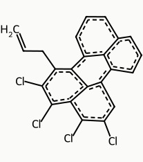 C=CCc1c(Cl)c(Cl)c2c(Cl)c(Cl)cc3c4cccc5cccc(c1c23)c54